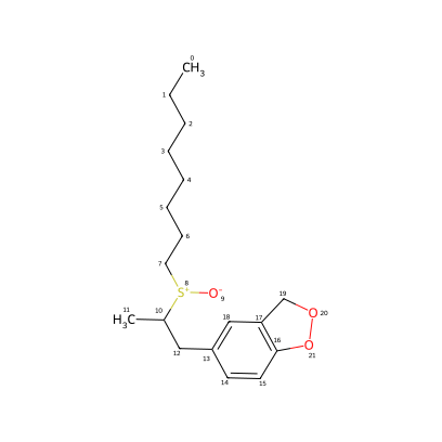 CCCCCCCC[S+]([O-])C(C)Cc1ccc2c(c1)COO2